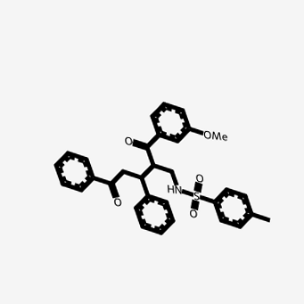 COc1cccc(C(=O)C(CNS(=O)(=O)c2ccc(C)cc2)C(CC(=O)c2ccccc2)c2ccccc2)c1